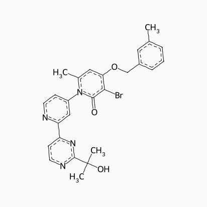 Cc1cccc(COc2cc(C)n(-c3ccnc(-c4ccnc(C(C)(C)O)n4)c3)c(=O)c2Br)c1